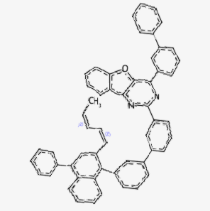 C/C=C\C=C/c1cc(-c2ccccc2)c2ccccc2c1-c1cccc(-c2cccc(-c3nc(-c4cccc(-c5ccccc5)c4)c4oc5ccccc5c4n3)c2)c1